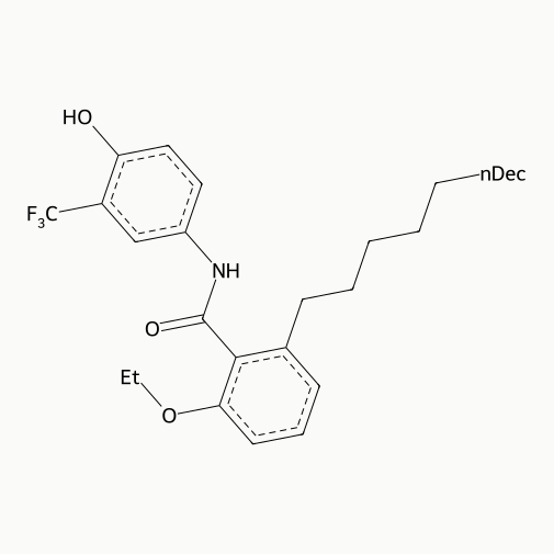 CCCCCCCCCCCCCCCc1cccc(OCC)c1C(=O)Nc1ccc(O)c(C(F)(F)F)c1